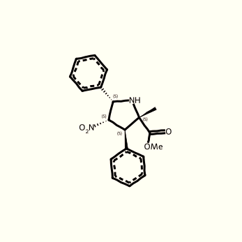 COC(=O)[C@@]1(C)N[C@@H](c2ccccc2)[C@@H]([N+](=O)[O-])[C@@H]1c1ccccc1